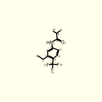 CCc1cc(NC(=O)C(C)C)ccc1C(F)(F)F